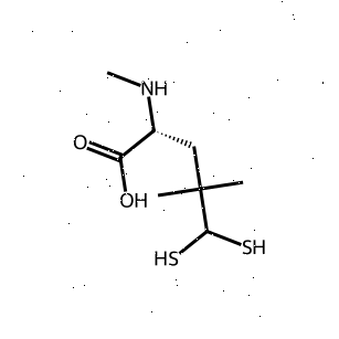 CN[C@H](CC(C)(C)C(S)S)C(=O)O